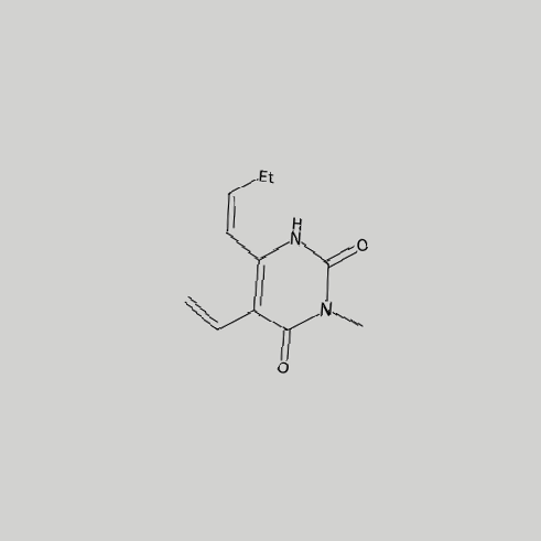 C=Cc1c(/C=C\CC)[nH]c(=O)n(C)c1=O